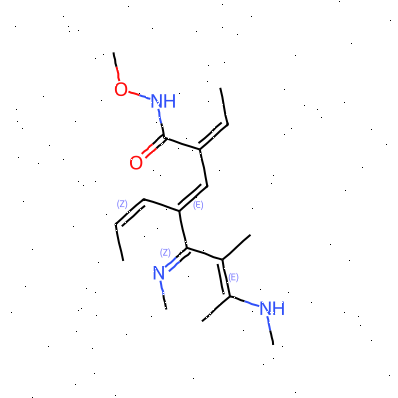 CC=C(/C=C(\C=C/C)C(=N/C)/C(C)=C(\C)NC)C(=O)NOC